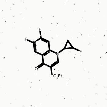 CCOC(=O)c1cn(C2CC2F)c2cc(F)c(F)cc2c1=O